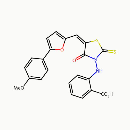 COc1ccc(-c2ccc(C=C3SC(=S)N(Nc4ccccc4C(=O)O)C3=O)o2)cc1